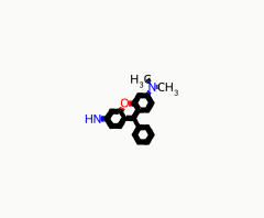 CN(C)c1ccc2c(-c3ccccc3)c3ccc(=N)cc-3oc2c1